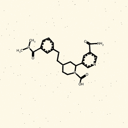 CN(C)C(=O)c1cccc(CCC2CCN(C(=O)O)C(c3cncc(C(N)=O)c3)C2)c1